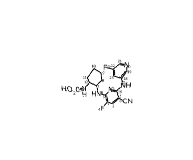 N#Cc1cc(F)c(N[C@@H]2CCCC[C@@H]2NC(=O)O)nc1Nc1cncc(F)c1